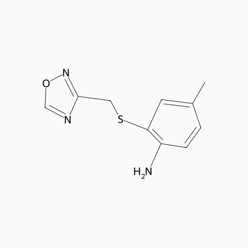 Cc1ccc(N)c(SCc2ncon2)c1